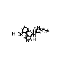 COc1cccc2nc(Nc3cnn(CCF)c3)c3[nH]ncc3c12